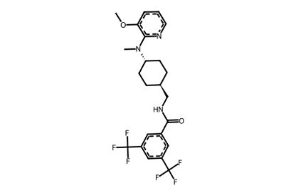 COc1cccnc1N(C)[C@H]1CC[C@H](CNC(=O)c2cc(C(F)(F)F)cc(C(F)(F)F)c2)CC1